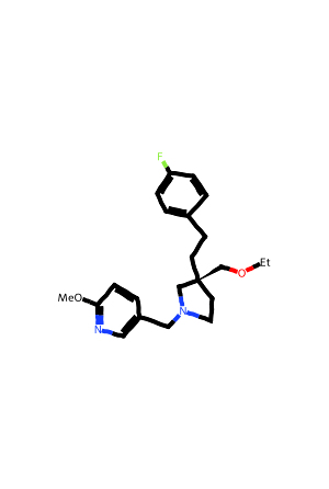 CCOC[C@@]1(CCc2ccc(F)cc2)CCN(Cc2ccc(OC)nc2)C1